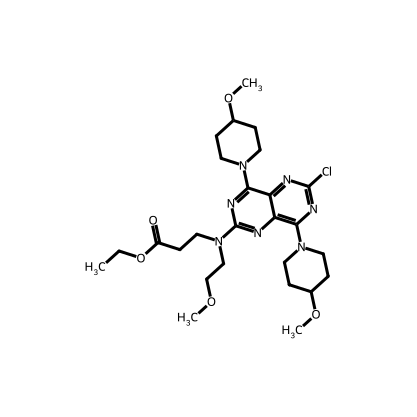 CCOC(=O)CCN(CCOC)c1nc(N2CCC(OC)CC2)c2nc(Cl)nc(N3CCC(OC)CC3)c2n1